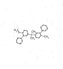 CSc1ccc(C(C)(C)c2ccc(C)c(-c3ccccc3)c2)cc1-c1ccccc1